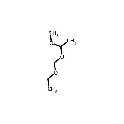 CCOCOC(C)O[SiH3]